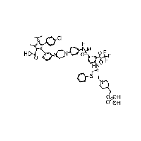 Cc1c(C(=O)O)c(-c2cccc(N3CCN(c4ccc(NS(=O)(=O)c5ccc(N[C@H](CCN6CCC(COP(=O)(O)O)CC6)CSc6ccccc6)c(S(=O)(=O)C(F)(F)F)c5)cc4)CC3)c2)c(-c2ccc(Cl)cc2)n1C(C)C